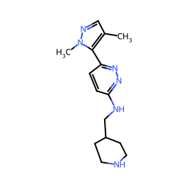 Cc1cnn(C)c1-c1ccc(NCC2CCNCC2)nn1